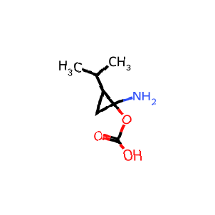 CC(C)C1CC1(N)OC(=O)O